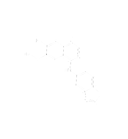 CC(C)(C)Sc1cc2c(Nc3ccc4scnc4c3)ncnc2cc1O